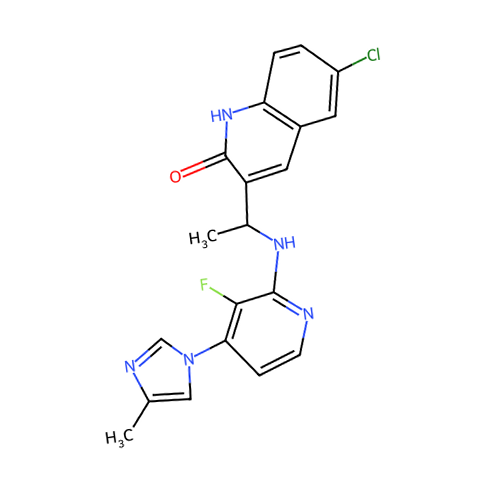 Cc1cn(-c2ccnc(NC(C)c3cc4cc(Cl)ccc4[nH]c3=O)c2F)cn1